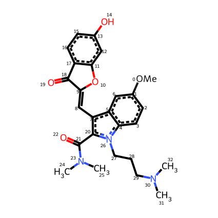 COc1ccc2c(c1)c(/C=C1\Oc3cc(O)ccc3C1=O)c(C(=O)N(C)C)n2CCCN(C)C